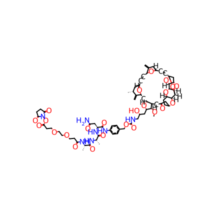 C=C1C[C@@H]2CC[C@@]34CC5O[C@@H]6C(O[C@H]7CCC(CC(=O)C[C@H]8[C@H](CC9O[C@@H](CCC1O2)C[C@@H](C)C9=C)OC(C[C@H](O)CNC(=O)OCc1ccc(NC(=O)[C@H](CC(N)=O)NC(=O)[C@H](C)NC(=O)[C@H](C)NC(=O)CCOCCOCCC(=O)ON2C(=O)CCC2=O)cc1)[C@@H]8OC)O[C@@H]7[C@@H]6O3)[C@@H]5O4